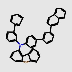 c1ccc(-c2cccc(N(c3ccc(-c4cccc(-c5ccc6ccccc6c5)c4)cc3)c3cccc4sc5ccccc5c34)c2)cc1